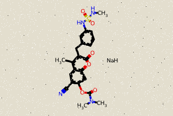 CNS(=O)(=O)Nc1cccc(Cc2c(C)c3cc(C#N)c(OC(=O)N(C)C)cc3oc2=O)c1.[NaH]